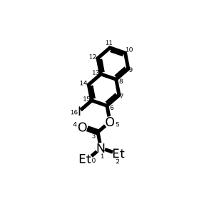 CCN(CC)C(=O)Oc1cc2ccccc2cc1I